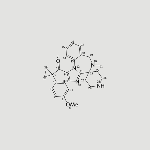 COc1ccc(C2(C(=O)c3cnc4n3-c3ccccc3CN(C)C43CCNCC3)CC2)cc1